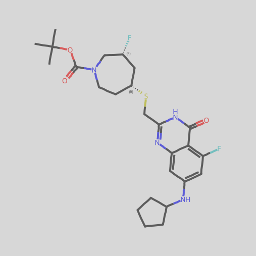 CC(C)(C)OC(=O)N1CC[C@@H](SCc2nc3cc(NC4CCCC4)cc(F)c3c(=O)[nH]2)C[C@@H](F)C1